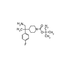 CC(C)(C)OC(=O)N1CCC(C(C)(CN)c2ccc(F)cc2)CC1